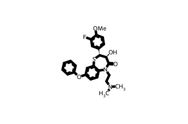 COc1ccc([C@H]2Sc3cc(Oc4ccccc4)ccc3N(CCN(C)C)C(=O)[C@H]2O)cc1F